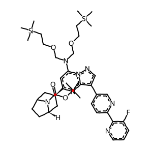 CC(C)(C)OC(=O)N1C2CC[C@H]1C[C@H](c1cc(N(COCC[Si](C)(C)C)COCC[Si](C)(C)C)n3ncc(-c4ccc(-c5ncccc5F)nc4)c3n1)C2